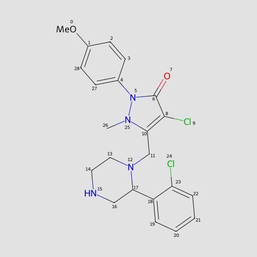 COc1ccc(-n2c(=O)c(Cl)c(CN3CCNCC3c3ccccc3Cl)n2C)cc1